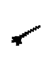 CCCCCCCCCCCCCCCCCP(=O)(OC(C)CC)OC(C)CC